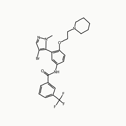 Cn1ncc(Br)c1-c1cc(NC(=O)c2cccc(C(F)(F)F)c2)ccc1OCCN1CCCCC1